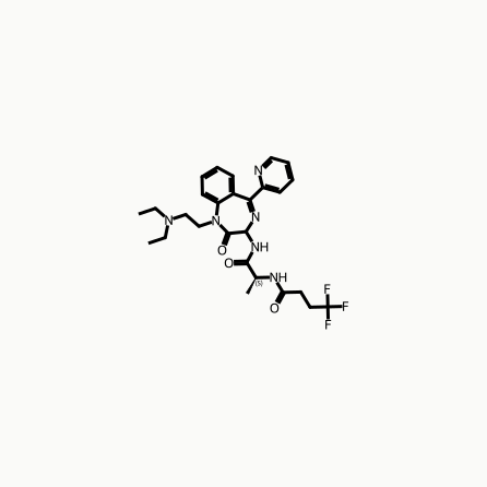 CCN(CC)CCN1C(=O)C(NC(=O)[C@H](C)NC(=O)CCC(F)(F)F)N=C(c2ccccn2)c2ccccc21